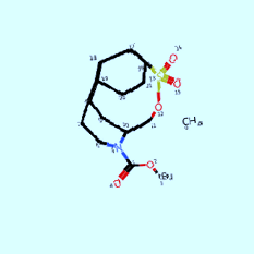 C.CC(C)(C)OC(=O)N1CCC2CC1COS(=O)(=O)C1CCC2CC1